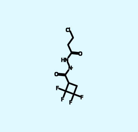 O=C(CCCl)N[N]C(=O)C1CC(F)(F)C1(F)F